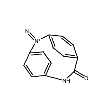 [N-]=[N+]1c2ccc(cc2)NC(=O)c2ccc1cc2